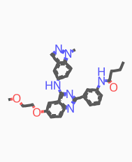 CCCC(=O)Nc1cccc(-c2nc(Nc3ccc4c(cnn4C)c3)c3cc(OCCOC)ccc3n2)c1